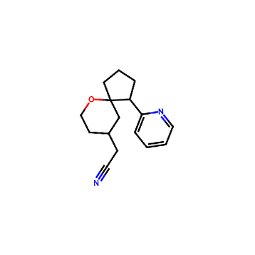 N#CCC1CCOC2(CCCC2c2ccccn2)C1